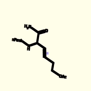 CCCCCNC(/C=C/CCOC(C)=O)C(N)=O